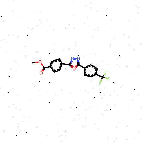 COC(=O)c1ccc(-c2nnc(-c3ccc(C(F)(F)F)cc3)o2)cc1